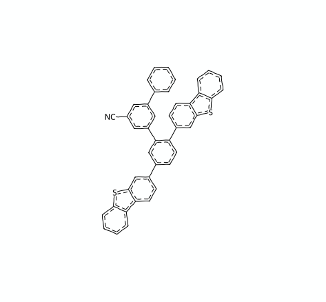 N#Cc1cc(-c2ccccc2)cc(-c2cc(-c3ccc4c(c3)sc3ccccc34)ccc2-c2ccc3c(c2)sc2ccccc23)c1